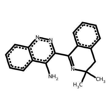 CC1(C)Cc2ccccc2C(c2nnc3ccccc3c2N)=N1